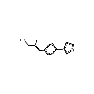 OCC(F)=Cc1ccc(-n2ccnc2)cc1